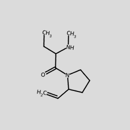 C=CC1CCCN1C(=O)C(CC)NC